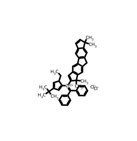 CCC1C=C(C(C)(C)C)C=[C]1[Zr+2]([C]1=Cc2cc3c(cc2C1(C)C)Cc1cc2c(cc1-3)C=CC2(C)C)=[C](c1ccccc1)c1ccccc1.[Cl-].[Cl-]